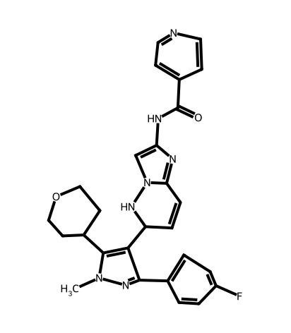 Cn1nc(-c2ccc(F)cc2)c(C2C=Cc3nc(NC(=O)c4ccncc4)cn3N2)c1C1CCOCC1